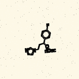 CCCCCCCCCCOC(CCn1ccnc1)c1ccc(F)cc1